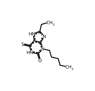 CCCCCn1c(=O)[nH]c(=S)c2[nH]c(CC)nc21